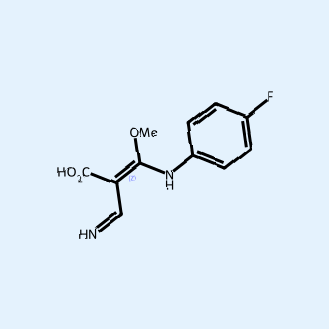 CO/C(Nc1ccc(F)cc1)=C(/C=N)C(=O)O